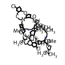 CO[C@@]1(CC(=O)N2CC[C@@H](N(C)C)C2)/C=C/C[C@H](C)[C@@H](C)S(=O)(=O)NC(=O)c2ccc3c(c2)N(C[C@@H]2CC[C@H]21)C[C@]1(CO3)CC(CN(C)[C@@H]2CCN(C(=O)C[C@@]3(OC)/C=C/C[C@H](C)[C@@H](C)S(=O)(=O)NC(=O)c4ccc5c(c4)N(CCCCc4cc(Cl)ccc4CO5)C[C@@H]4CC[C@H]43)C2)Cc2cc(Cl)ccc21